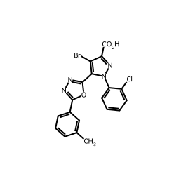 Cc1cccc(-c2nnc(-c3c(Br)c(C(=O)O)nn3-c3ccccc3Cl)o2)c1